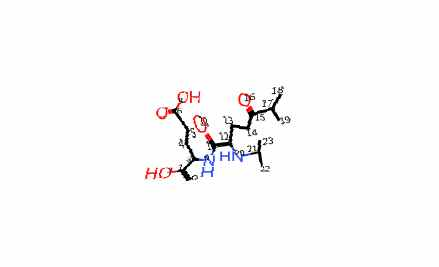 C=C(O)C(CCC(=O)O)NC(=O)C(CCC(=O)C(C)C)NC(C)C